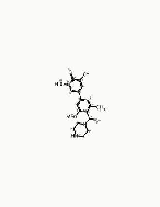 COc1cc(-c2cc(C)c(=O)n(C)c2)cc(C)c1C(O)N1CCNCC1